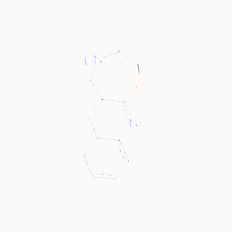 c1ccc2nc3c(cc2c1)CNCCO3